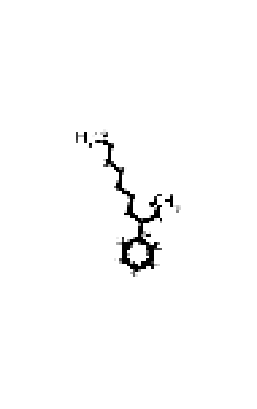 CCCCCCCC(CC)c1ccccc1